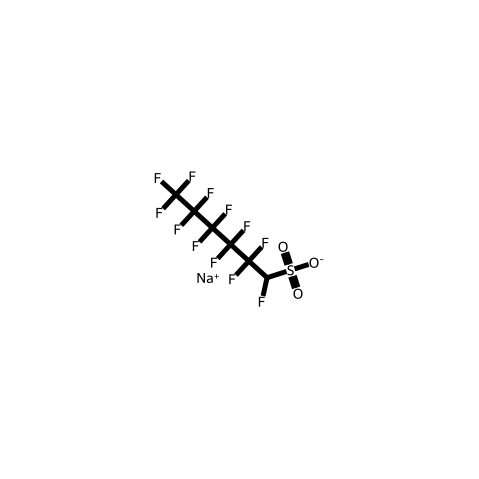 O=S(=O)([O-])C(F)C(F)(F)C(F)(F)C(F)(F)C(F)(F)C(F)(F)F.[Na+]